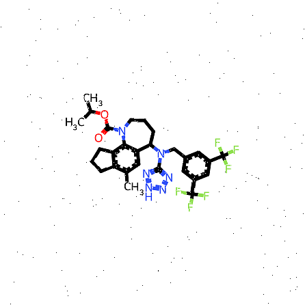 Cc1cc2c(c3c1CCC3)N(C(=O)OC(C)C)CCCC2N(Cc1cc(C(F)(F)F)cc(C(F)(F)F)c1)c1nn[nH]n1